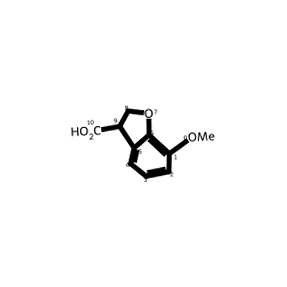 COc1cccc2c1OCC2C(=O)O